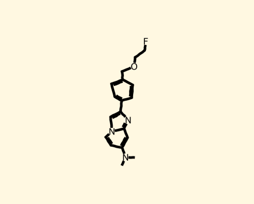 CN(C)c1ccn2cc(-c3ccc(COCCF)cc3)nc2c1